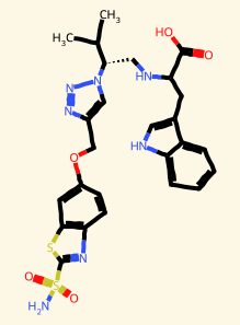 CC(C)[C@H](CNC(Cc1c[nH]c2ccccc12)C(=O)O)n1cc(COc2ccc3nc(S(N)(=O)=O)sc3c2)nn1